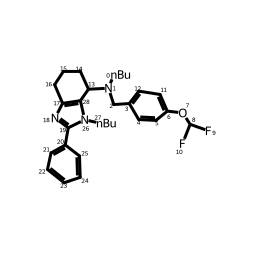 CCCCN(Cc1ccc(OC(F)F)cc1)C1CCCc2nc(-c3ccccc3)n(CCCC)c21